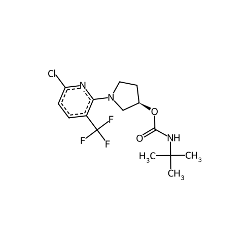 CC(C)(C)NC(=O)O[C@@H]1CCN(c2nc(Cl)ccc2C(F)(F)F)C1